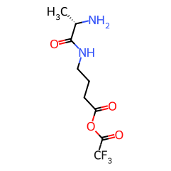 C[C@H](N)C(=O)NCCCC(=O)OC(=O)C(F)(F)F